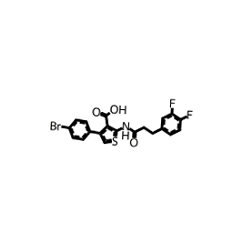 O=C(CCc1ccc(F)c(F)c1)Nc1scc(-c2ccc(Br)cc2)c1C(=O)O